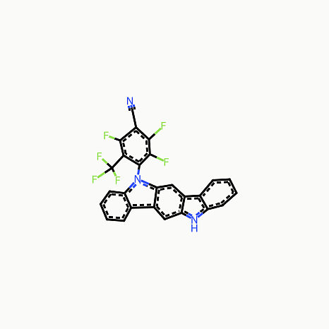 N#Cc1c(F)c(F)c(-n2c3ccccc3c3cc4[nH]c5ccccc5c4cc32)c(C(F)(F)F)c1F